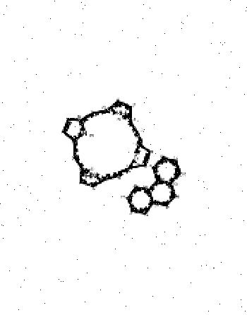 C1=Cc2cc3ccc(cc4nc(cc5ccc(cc1n2)[nH]5)C=C4)[nH]3.c1ccc2c(c1)ccc1ccccc12